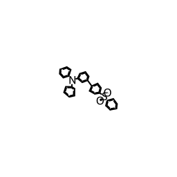 O=S(=O)(c1ccccc1)c1ccc(-c2cccc(N(c3ccccc3)c3ccccc3)c2)cc1